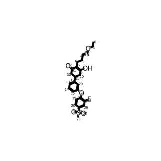 CCON=CCCC1=C(O)CC(c2cccc(Oc3ccc(S(C)(=O)=O)cc3F)c2)CC1=O